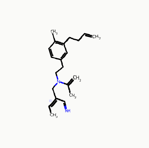 C=CCCc1cc(CCN(C/C(C=N)=C/C)C(=C)C)ccc1C